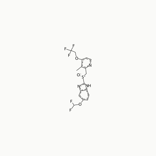 Cc1c(OCC(F)(F)F)ccnc1C[S@@+]([O-])c1nc2cc(OC(F)F)ccc2[nH]1